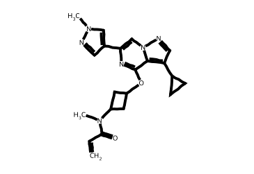 C=CC(=O)N(C)C1CC(Oc2nc(-c3cnn(C)c3)cn3ncc(C4CC4)c23)C1